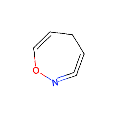 C1=CCC=CON=1